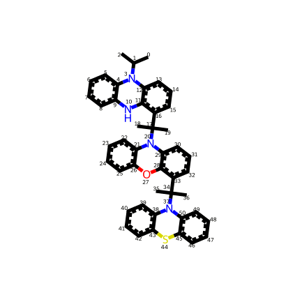 CC(C)N1c2ccccc2Nc2c1cccc2C(C)(C)N1c2ccccc2Oc2c1cccc2C(C)(C)N1c2ccccc2Sc2ccccc21